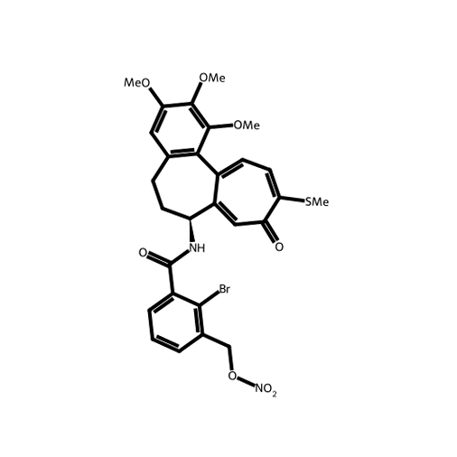 COc1cc2c(c(OC)c1OC)-c1ccc(SC)c(=O)cc1[C@@H](NC(=O)c1cccc(CO[N+](=O)[O-])c1Br)CC2